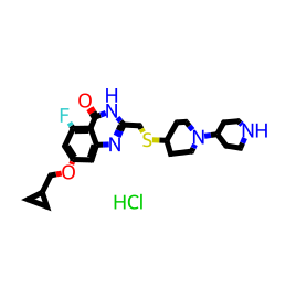 Cl.O=c1[nH]c(CSC2CCN(C3CCNCC3)CC2)nc2cc(OCC3CC3)cc(F)c12